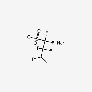 CC(F)C(F)(F)C(F)(F)S(=O)(=O)[O-].[Na+]